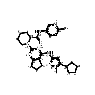 O=C(Nc1ccc(F)nc1)[C@@H]1CCCCN1c1nc2c(c(Nc3cc(C4CCCC4)[nH]n3)n1)CCC2